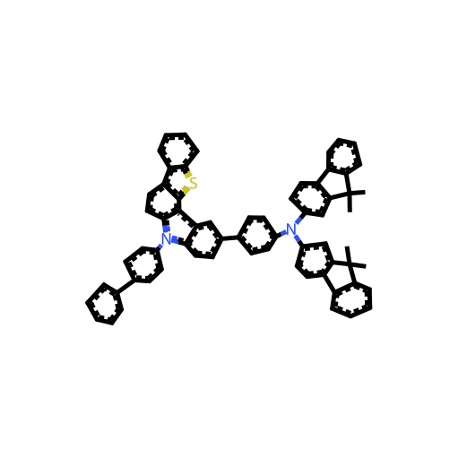 CC1(C)c2ccccc2-c2ccc(N(c3ccc(-c4ccc5c(c4)c4c6sc7ccccc7c6ccc4n5-c4ccc(-c5ccccc5)cc4)cc3)c3ccc4c(c3)C(C)(C)c3ccccc3-4)cc21